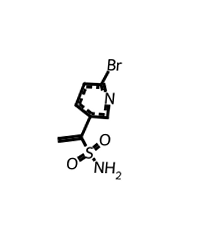 C=C(c1ccc(Br)nc1)S(N)(=O)=O